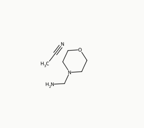 CC#N.NCN1CCOCC1